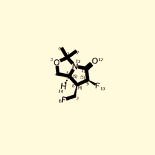 CC1(C)OC[C@@H]2[C@H](CF)[C@H](F)C(=O)N21